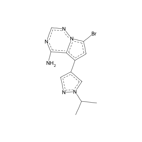 CC(C)n1cc(-c2cc(Br)n3ncnc(N)c23)cn1